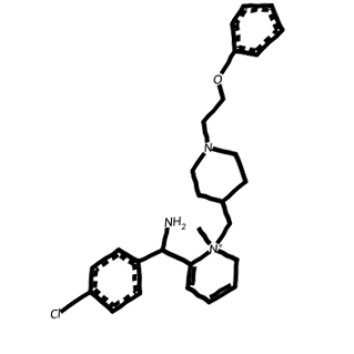 C[N+]1(CC2CCN(CCOc3ccccc3)CC2)CC=CC=C1C(N)c1ccc(Cl)cc1